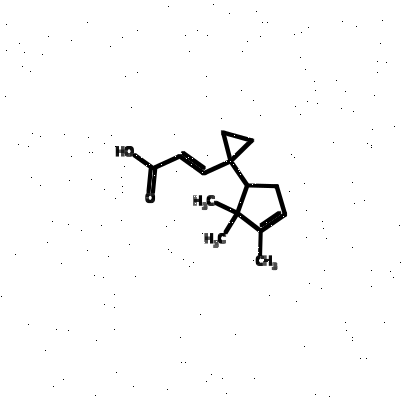 CC1=CCC(C2(C=CC(=O)O)CC2)C1(C)C